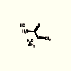 C=CC(N)=O.Cl.O.[AlH3]